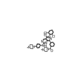 CN1CCN(C(=O)c2cccc(-c3nn(-c4c(Cl)cccc4Cl)c(=O)c4cnc(Nc5ccc(N6CCN(C)CC6)cc5)nc34)c2)CC1